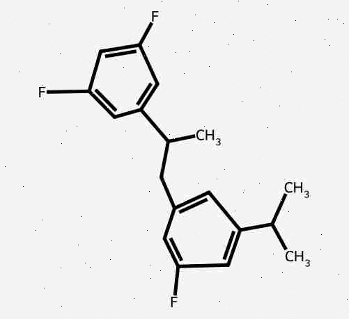 CC(C)c1cc(F)cc(CC(C)c2cc(F)cc(F)c2)c1